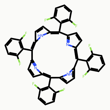 Fc1cccc(F)c1-c1c2nc(c(-c3c(F)cccc3F)c3ccc([nH]3)c(-c3c(F)cccc3F)c3nc(c(-c4c(F)cccc4F)c4ccc1[nH]4)C=C3)C=C2